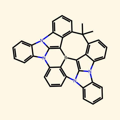 CC1(C)c2cccc3c2c2c4n(c5ccccc5n34)-c3cccc4c3B2c2c3c1cccc3n1c3ccccc3n-4c21